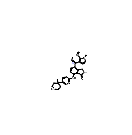 C=Nc1c(/C(=C\C)c2ccc(Nc3ccc(C4(C)CCNCC4)cn3)c3c2CNC3=O)ccn1C